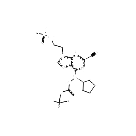 CC(C)(C)OC(=O)NN(c1nc(C#N)nc2c1ncn2CCOS(C)(=O)=O)C1CCCC1